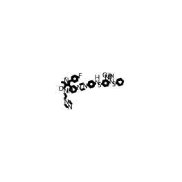 Cc1c(C(=O)NCCCN2CCN(C)CC2)c(C2=CCCC(N3CCN(c4ccc(NSc5ccc(NSC6=CCCC=C6)c([N+](=O)[O-])c5)cc4)CC3)=C2)c(-c2ccc(F)cc2)n1C